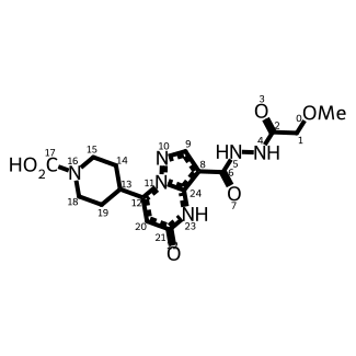 COCC(=O)NNC(=O)c1cnn2c(C3CCN(C(=O)O)CC3)cc(=O)[nH]c12